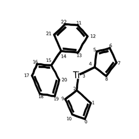 C1=C[CH]([Ti][CH]2C=CC=C2)C=C1.c1ccc(-c2ccccc2)cc1